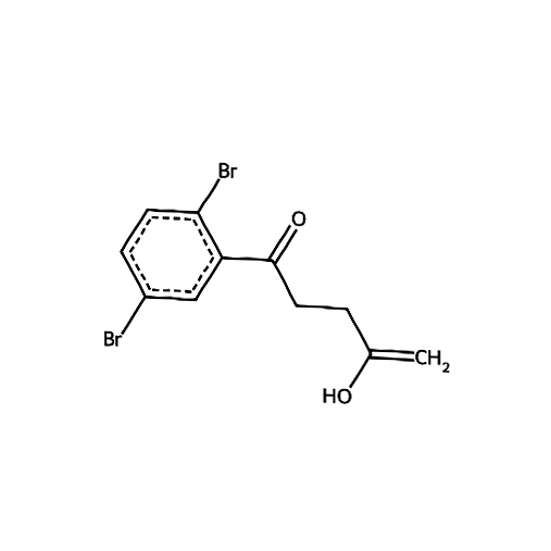 C=C(O)CCC(=O)c1cc(Br)ccc1Br